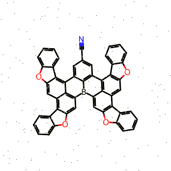 N#Cc1cc2c3c(c1)-c1c4c(cc5oc6ccccc6c5c4cc4oc5ccccc5c14)B3c1cc3oc4ccccc4c3c3cc4oc5ccccc5c4c-2c13